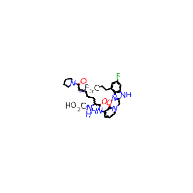 O=C(O)NC(CC/C=C/C(=O)N1CCCC1)C(=O)Nc1cccn(Cc2nc3c(CCC(F)(F)F)cc(F)cc3[nH]2)c1=O